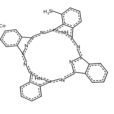 [Co].[SiH3]c1cccc2c3nc4nc(nc5[nH]c(nc6nc(nc([nH]3)c12)-c1ccccc1-6)c1ccccc51)-c1ccccc1-4